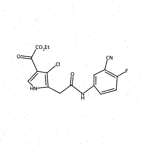 CCOC(=O)C(=O)c1c[nH]c(CC(=O)Nc2ccc(F)c(C#N)c2)c1Cl